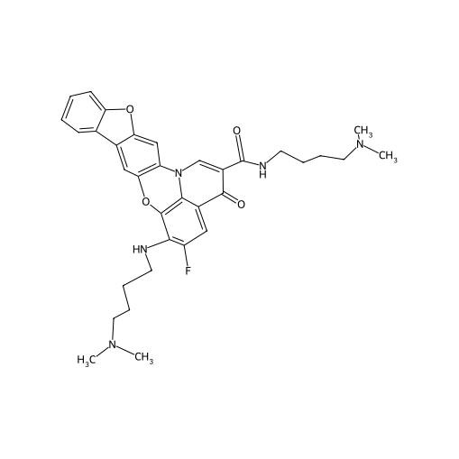 CN(C)CCCCNC(=O)c1cn2c3c(c(NCCCCN(C)C)c(F)cc3c1=O)Oc1cc3c(cc1-2)oc1ccccc13